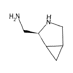 NC[C@H]1NCC2CC21